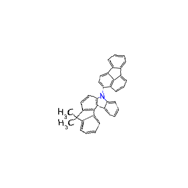 CC1(C)c2ccccc2-c2c1ccc1c2c2ccccc2n1-c1ccc2c3c(cccc13)-c1ccccc1-2